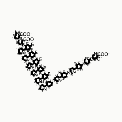 Fc1ccc(-c2ccccn2)c(F)c1.Fc1ccc(-c2ccccn2)c(F)c1.Fc1ccc(-c2ccccn2)c(F)c1.Fc1ccc(-c2ccccn2)c(F)c1.Fc1ccc(-c2ccccn2)c(F)c1.Fc1ccc(-c2ccccn2)c(F)c1.Fc1ccc(-c2ccccn2)c(F)c1.Fc1ccc(-c2ccccn2)c(F)c1.O=C([O-])c1ccccn1.O=C([O-])c1ccccn1.O=C([O-])c1ccccn1.O=C([O-])c1ccccn1.[Ir+4]